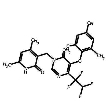 Cc1cc(C)c(Cn2cnc(C(F)(F)C(F)F)c(Oc3c(C)cc(C#N)cc3C)c2=O)c(=O)[nH]1